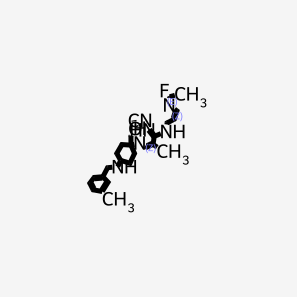 C/C(=C/NC1(COC#N)CCC(NCc2cccc(C)c2)CC1)C(=N)NC/C=C\N=C(/C)F